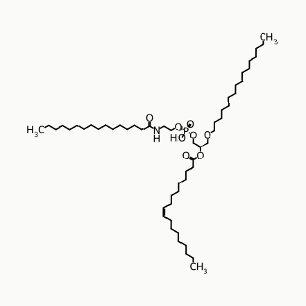 CCCCCCCC/C=C\CCCCCCCC(=O)O[C@H](COCCCCCCCCCCCCCCCC)COP(=O)(O)OCCNC(=O)CCCCCCCCCCCCCCC